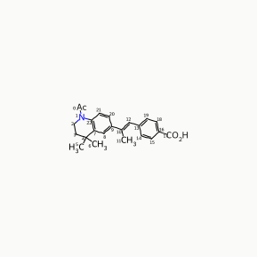 CC(=O)N1CCC(C)(C)c2cc(C(C)=Cc3ccc(C(=O)O)cc3)ccc21